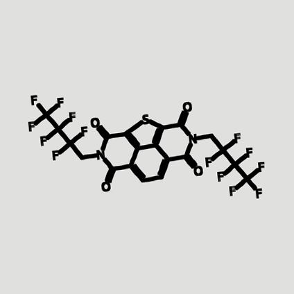 O=C1c2ccc3c4c(sc(c24)C(=O)N1CC(F)(F)C(F)(F)C(F)(F)F)C(=O)N(CC(F)(F)C(F)(F)C(F)(F)F)C3=O